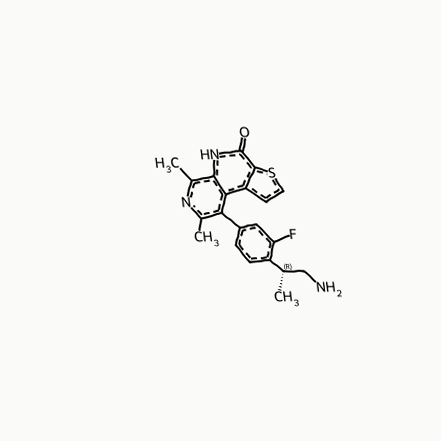 Cc1nc(C)c2[nH]c(=O)c3sccc3c2c1-c1ccc([C@@H](C)CN)c(F)c1